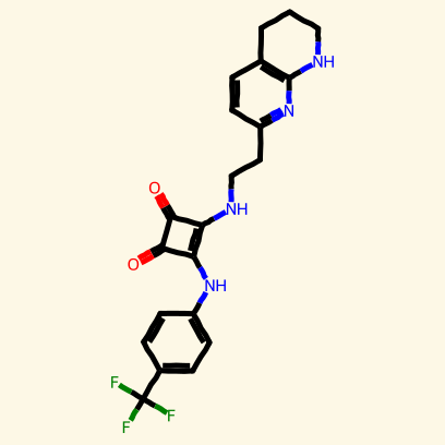 O=c1c(NCCc2ccc3c(n2)NCCC3)c(Nc2ccc(C(F)(F)F)cc2)c1=O